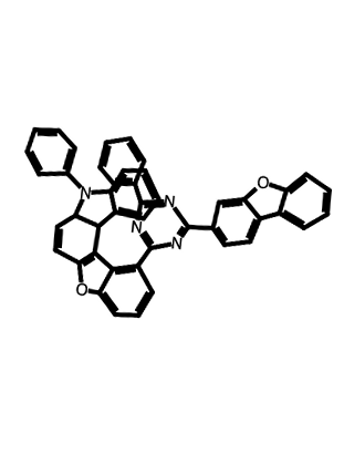 C1=CC2C(c3ccccc3N2c2ccccc2)c2c1oc1cccc(-c3nc(-c4ccccc4)nc(-c4ccc5c(c4)oc4ccccc45)n3)c21